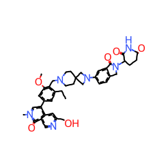 CCc1cc(-c2cn(C)c(=O)c3cnc(CO)cc23)cc(OC)c1CN1CCC2(CC1)CN(c1ccc3c(c1)C(=O)N(C1CCC(=O)NC1=O)C3)C2